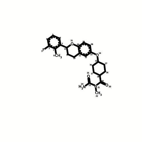 Cc1c(F)cccc1C1CCc2cc(OC3CCC(C(=O)N(C)C(N)=O)CC3)ccc2O1